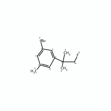 Cc1cc(C(C)(C)C)cc(C(C)(C)CF)c1